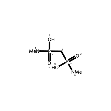 CNP(=O)(O)CP(=O)(O)NC